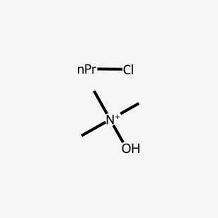 CCCCl.C[N+](C)(C)O